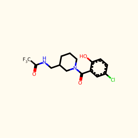 O=C(c1cc(Cl)ccc1O)N1CCCC(CNC(=O)C(F)(F)F)C1